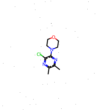 Cc1nc(Cl)c(N2CCOCC2)nc1C